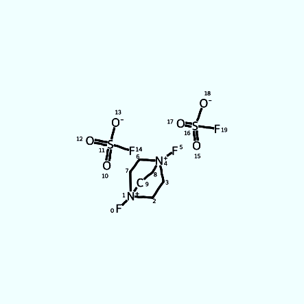 F[N+]12CC[N+](F)(CC1)CC2.O=S(=O)([O-])F.O=S(=O)([O-])F